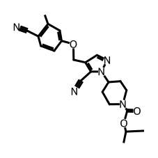 Cc1cc(OCc2cnn(C3CCN(C(=O)OC(C)C)CC3)c2C#N)ccc1C#N